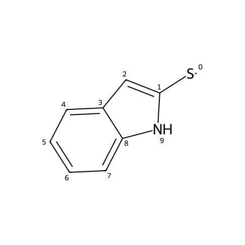 [S]c1cc2ccccc2[nH]1